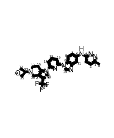 Cc1ccc(Nc2ccc3c(c2)ncn3-c2cc[c]c(-n3nc(C(F)(F)F)c4c3CCN(C3COC3)C4)n2)nn1